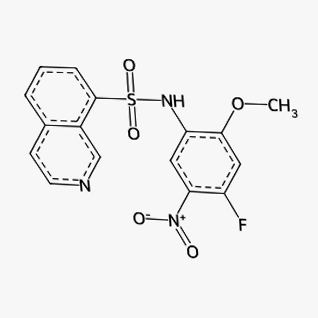 COc1cc(F)c([N+](=O)[O-])cc1NS(=O)(=O)c1cccc2ccncc12